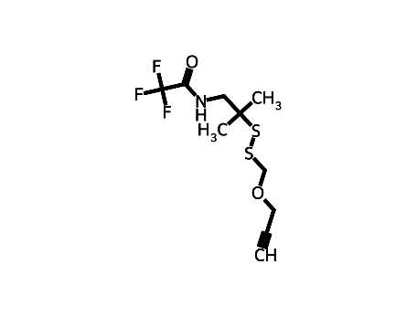 C#CCOCSSC(C)(C)CNC(=O)C(F)(F)F